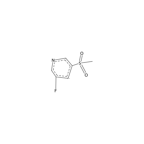 CS(=O)(=O)c1[c]c(F)cnc1